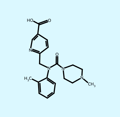 Cc1ccccc1N(Cc1ccc(C(=O)O)cn1)C(=O)N1CCN(C)CC1